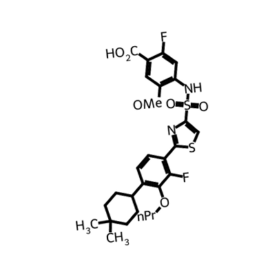 CCCOc1c(C2CCC(C)(C)CC2)ccc(-c2nc(S(=O)(=O)Nc3cc(F)c(C(=O)O)cc3OC)cs2)c1F